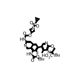 Cc1c(-c2cc3cc(NC(=O)OC4CN(S(=O)(=O)C5CC5)C4)ncc3c(NC(=O)OC(C)(C)C)c2F)cnc2c1N(C(=O)O)C(C(C)(C)C)CO2